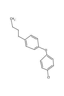 [CH2]CCCc1ccc(Oc2ccc(Cl)cc2)cc1